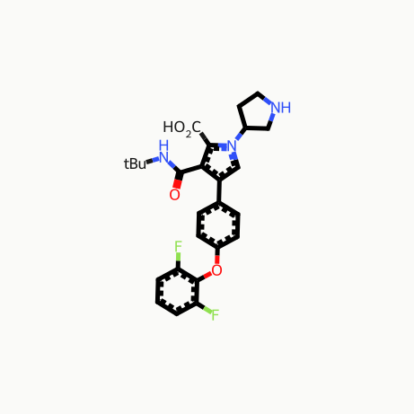 CC(C)(C)NC(=O)c1c(-c2ccc(Oc3c(F)cccc3F)cc2)cn(C2CCNC2)c1C(=O)O